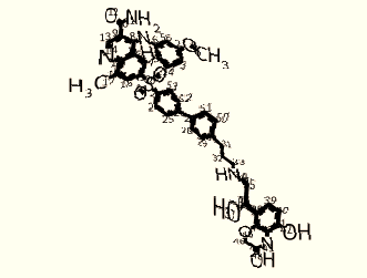 COc1cccc(Nc2c(C(N)=O)cnc3c(C)cc(S(=O)(=O)c4ccc(-c5ccc(CCCNC[C@H](O)c6ccc(O)c7c6OCC(=O)N7)cc5)cc4)cc23)c1